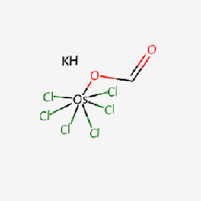 O=C[O][Os]([Cl])([Cl])([Cl])([Cl])([Cl])[Cl].[KH]